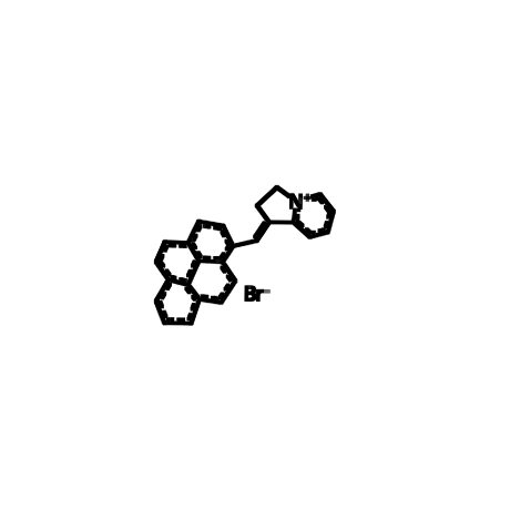 C(=C1CC[n+]2ccccc21)c1ccc2ccc3cccc4ccc1c2c34.[Br-]